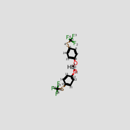 FC(F)(F)Sc1ccc(OBOc2ccc(SC(F)(F)F)cc2)cc1